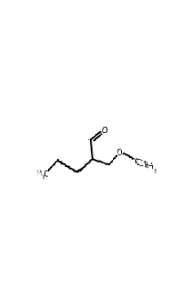 CCCC([C]=O)COC